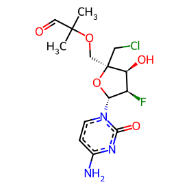 CC(C)(C=O)OC[C@@]1(CCl)O[C@@H](n2ccc(N)nc2=O)[C@H](F)[C@@H]1O